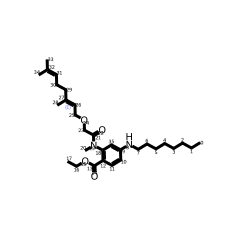 CCCCCCCCNc1ccc(C(=O)OCC)c(N(C)C(=O)COC/C=C(\C)CCC=C(C)C)c1